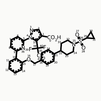 O=C(O)c1cnn(-c2cccc(-c3ccccc3OCc3ccc(C4CCN(S(=O)(=O)C5CC5)CC4)cc3)n2)c1C(F)(F)C(F)(F)F